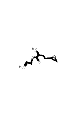 C=CCOC(=O)C(=C)CCC1CO1